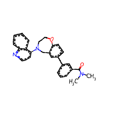 CN(C)C(=O)c1cccc(-c2ccc3c(c2)CN(c2ccnc4ccccc24)CCO3)c1